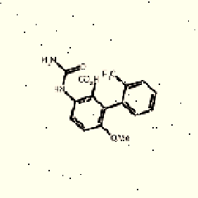 COc1ccc(NC(N)=O)c(C(=O)O)c1-c1ccccc1C(F)(F)F